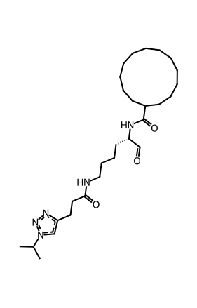 CC(C)n1cc(CCC(=O)NCCCC[C@@H](C=O)NC(=O)C2CCCCCCCCCCCC2)nn1